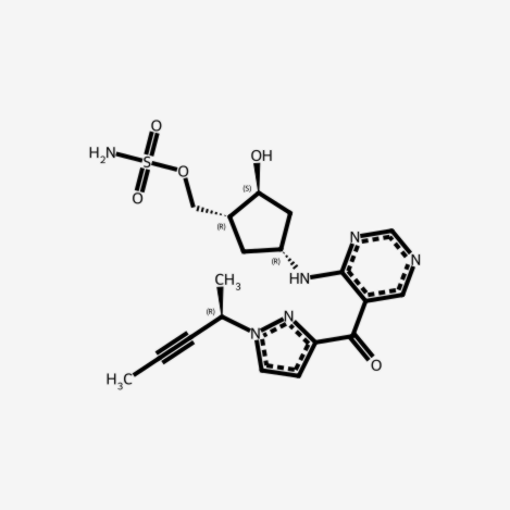 CC#C[C@@H](C)n1ccc(C(=O)c2cncnc2N[C@@H]2C[C@H](COS(N)(=O)=O)[C@@H](O)C2)n1